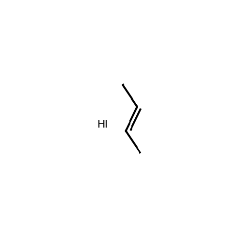 CC=CC.I